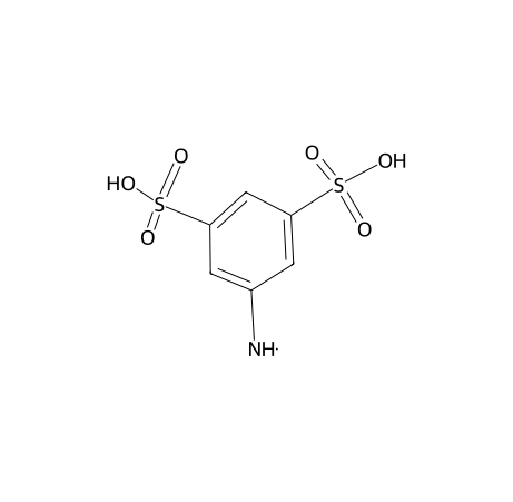 [NH]c1cc(S(=O)(=O)O)cc(S(=O)(=O)O)c1